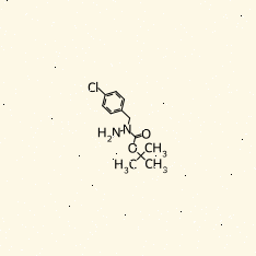 CC(C)(C)OC(=O)N(N)Cc1ccc(Cl)cc1